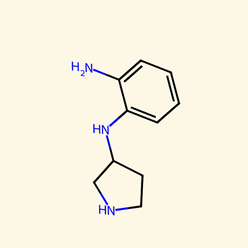 Nc1ccccc1NC1CCNC1